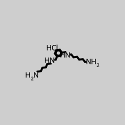 Cl.NCCCCCCNCc1cccc(CNCCCCCCN)c1